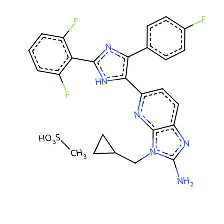 CS(=O)(=O)O.Nc1nc2ccc(-c3[nH]c(-c4c(F)cccc4F)nc3-c3ccc(F)cc3)nc2n1CC1CC1